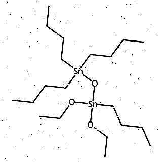 CCC[CH2][Sn]([CH2]CCC)([CH2]CCC)[O][Sn]([CH2]CCC)([O]CC)[O]CC